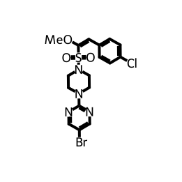 CO/C(=C/c1ccc(Cl)cc1)S(=O)(=O)N1CCN(c2ncc(Br)cn2)CC1